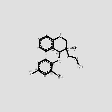 CNC[C@]1(O)COc2ccccc2[C@@H]1Oc1ccc(Br)cc1C